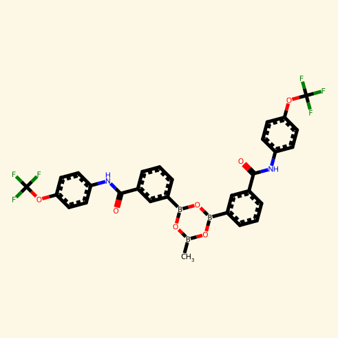 CB1OB(c2cccc(C(=O)Nc3ccc(OC(F)(F)F)cc3)c2)OB(c2cccc(C(=O)Nc3ccc(OC(F)(F)F)cc3)c2)O1